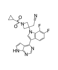 N#CCC1(n2cc(-c3ncnc4[nH]ccc34)c3ccc(F)c(F)c32)CN(S(=O)(=O)C2CC2)C1